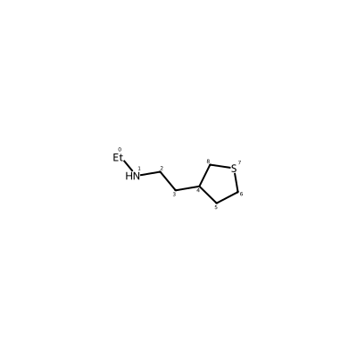 CCNCCC1CCSC1